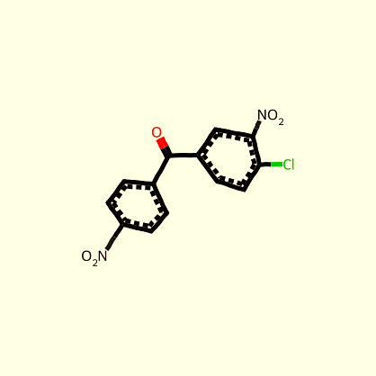 O=C(c1ccc([N+](=O)[O-])cc1)c1ccc(Cl)c([N+](=O)[O-])c1